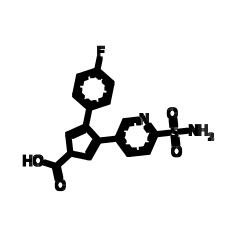 NS(=O)(=O)c1ccc(C2=CC(C(=O)O)C=C2c2ccc(F)cc2)cn1